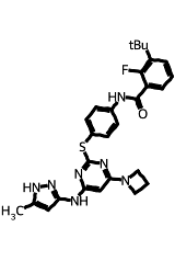 Cc1cc(Nc2cc(N3CCC3)nc(Sc3ccc(NC(=O)c4cccc(C(C)(C)C)c4F)cc3)n2)n[nH]1